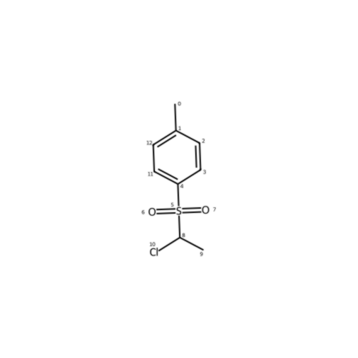 Cc1ccc(S(=O)(=O)C(C)Cl)cc1